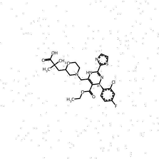 CCOC(=O)C1=C(CN2CCOC(CC(C)(C)C(=O)O)C2)NC(c2nccs2)=N[C@H]1c1ccc(F)cc1Cl